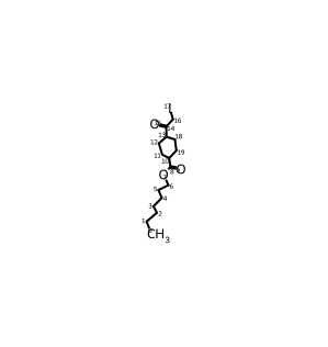 CCCCCCCOC(=O)C1CCC(C(=O)CI)CC1